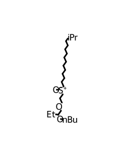 CCCCOC(CC)COCCC[S+]([O-])CCCCCCCCCCCCC(C)C